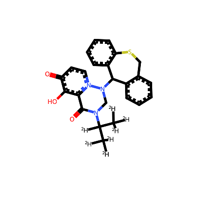 [2H]C([2H])([2H])C([2H])(N1CN(C2c3ccccc3CSc3ccccc32)n2ccc(=O)c(O)c2C1=O)C([2H])([2H])[2H]